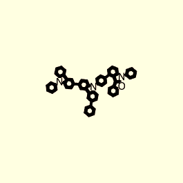 c1ccc(-c2ccc3c(c2)c2cc(-c4ccc5c(c4)c4ccccc4n5-c4ccccc4)ccc2n3-c2ccc(-c3cccc4c3c3c5ccccc5oc3n4-c3ccccc3)cc2)cc1